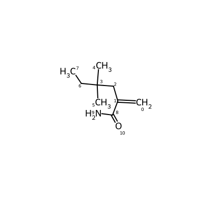 C=C(CC(C)(C)CC)C(N)=O